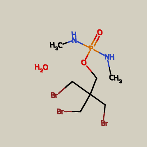 CNP(=O)(NC)OCC(CBr)(CBr)CBr.O